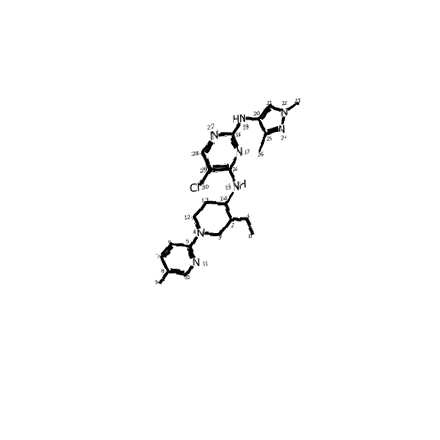 CCC1CN(c2ccc(C)cn2)CCC1Nc1nc(Nc2cn(C)nc2C)ncc1Cl